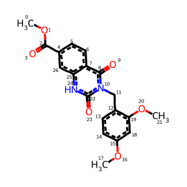 COC(=O)c1ccc2c(=O)n(Cc3ccc(OC)cc3OC)c(=O)[nH]c2c1